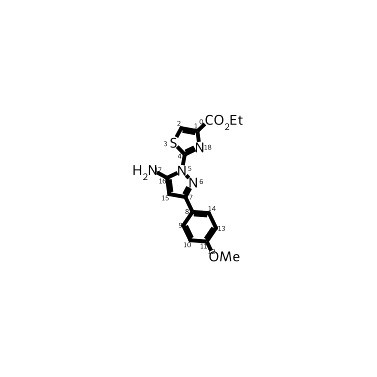 CCOC(=O)c1csc(-n2nc(-c3ccc(OC)cc3)cc2N)n1